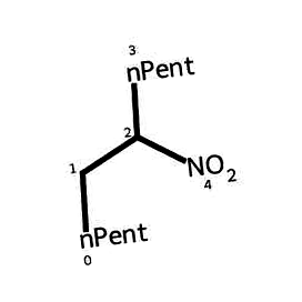 CCCCCCC(CCCCC)[N+](=O)[O-]